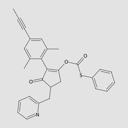 CC#Cc1cc(C)c(C2=C(OC(=O)Sc3ccccc3)CC(Cc3ccccn3)C2=O)c(C)c1